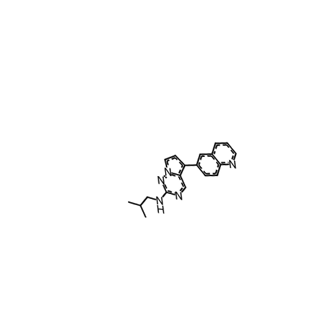 CC(C)CNc1ncc2c(-c3ccc4ncccc4c3)ccn2n1